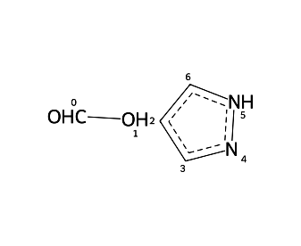 O=CO.c1cn[nH]c1